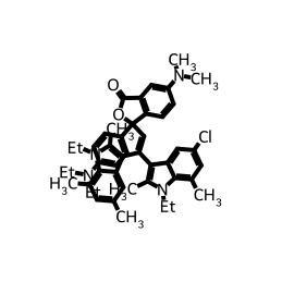 CCN(CC)c1ccc(C2(C=C(c3c(C)n(CC)c4c(C)cc(C)cc34)c3c(C)n(CC)c4c(C)cc(Cl)cc34)OC(=O)c3cc(N(C)C)ccc32)cc1